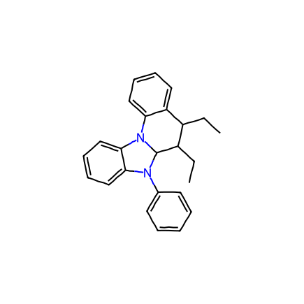 CCC1c2ccccc2N2c3ccccc3N(c3ccccc3)C2C1CC